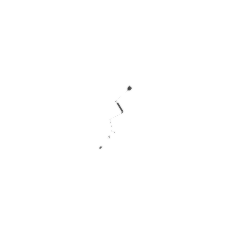 C#CC=CCN=C=O